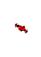 CC1(C)N=C(c2ccc(-c3ccc4c(c3)C(c3ccccc3)(c3ccccc3)c3cc(-c5ccc(C6=NC(C)(C)C(C)(C)S6)cc5)c5ccccc5c3-4)cc2)SC1(C)C